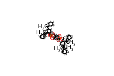 CC(=C1CCCCC1)C1CCC(OP2OCC3(CO2)COP(OC2CCC(C(C)(C)C4CCCCC4)CC2C(C)(C)C2CCCCC2)OC3)C(C(C)(C)C2CCCCC2)C1